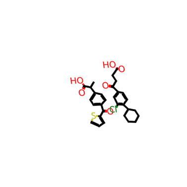 CC(C(=O)O)c1ccc(C(=O)c2cccs2)cc1.O=C(O)CCC(=O)c1ccc(C2CCCCC2)c(Cl)c1